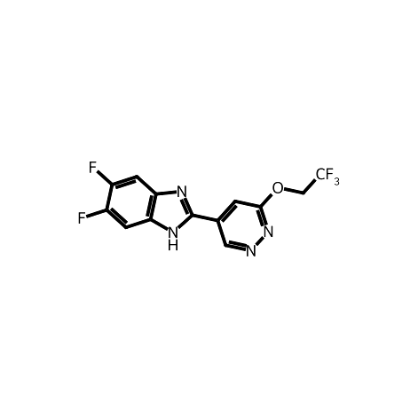 Fc1cc2nc(-c3cnnc(OCC(F)(F)F)c3)[nH]c2cc1F